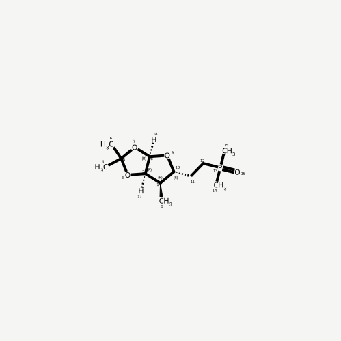 C[C@H]1[C@H]2OC(C)(C)O[C@H]2O[C@@H]1CCP(C)(C)=O